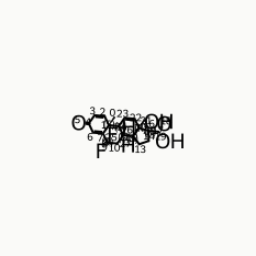 C[C@]12C=CC(=O)C=C1[C@@H](F)C[C@H]1[C@@H]3CC[C@](O)(C(=O)O)[C@@]3(C)C=C[C@@]12F